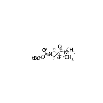 CN(C)C(=O)C1(F)CN(C(=O)OC(C)(C)C)C1